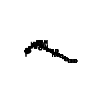 O=[C]COCCOCCNC(=O)COCCOCCNC(=O)CC[C@H](NC(=O)CCCc1ccc(I)cc1)C(=O)O